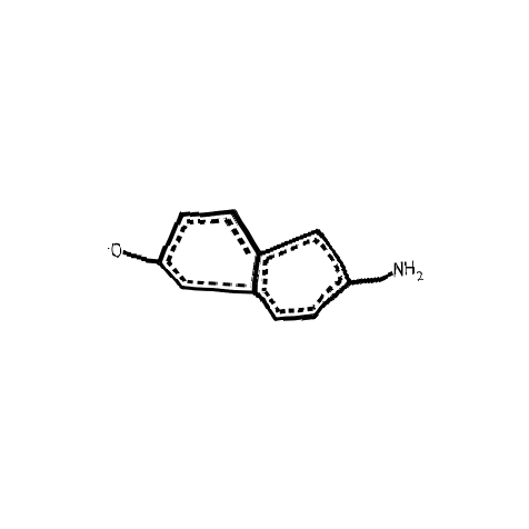 Nc1ccc2cc([O])ccc2c1